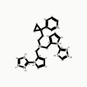 c1cncc(C2(CCN(Cc3cccn3-c3nncs3)Cc3cccn3-c3nncs3)CC2)c1